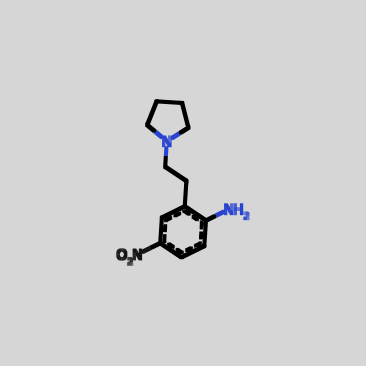 Nc1ccc([N+](=O)[O-])cc1CCN1CCCC1